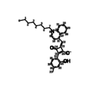 CCCCCCCC[n+]1ccc(/C=C2\C(=O)C(c3ccc(C)cc3O)=C2[O-])c2ccccc21